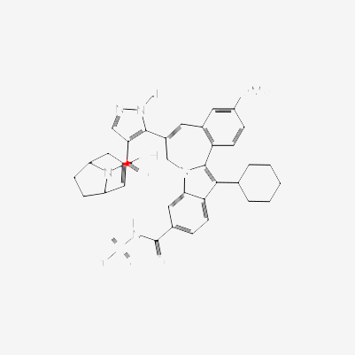 COc1ccc2c(c1)C=C(c1c(C(=O)N3C4C=C(C)CC3CC4)cnn1C(C)C)Cn1c-2c(C2CCCCC2)c2ccc(C(=O)NS(=O)(=O)C(C)C)cc21